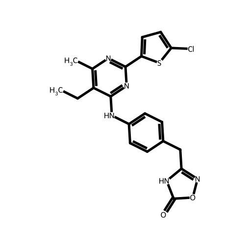 CCc1c(C)nc(-c2ccc(Cl)s2)nc1Nc1ccc(Cc2noc(=O)[nH]2)cc1